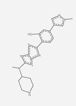 CN(c1nc2sc(-c3ccc(-c4cnn(C)c4)cc3O)nc2s1)C1CCNCC1